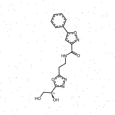 O=C(NCCc1nnc([C@@H](O)CO)o1)c1cc(-c2ccccc2)on1